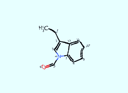 CCc1cn(C=O)c2ccccc12